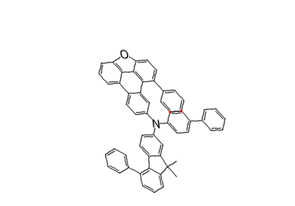 CC1(C)c2cc(N(c3ccc(-c4ccccc4)cc3)c3ccc4c(c3)c3c(-c5ccccc5)ccc5oc6cccc4c6c53)ccc2-c2c(-c3ccccc3)cccc21